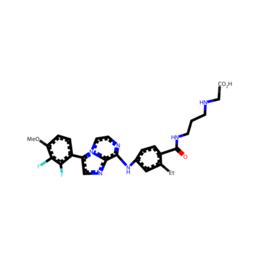 CCc1cc(Nc2nccn3c(-c4ccc(OC)c(F)c4F)cnc23)ccc1C(=O)NCCCNCC(=O)O